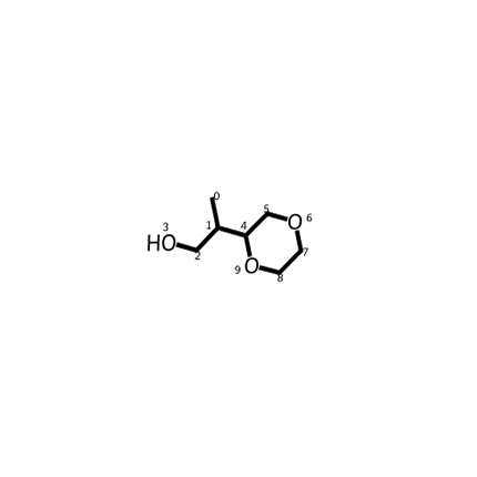 CC(CO)C1COCCO1